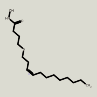 CCCCCCCC/C=C\CCSCCCC(=O)NO